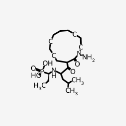 CC[C@H](NC(CC(C)C)C(=O)C1CCCCCCCCCCN(N)C1=O)P(=O)(O)O